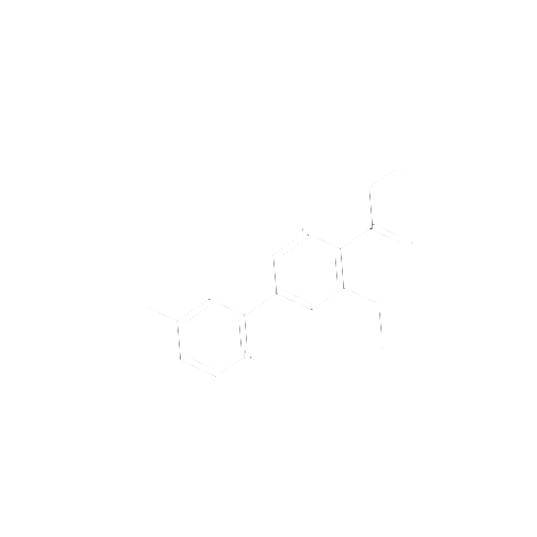 CCSc1cc(-c2cc(C(F)(F)F)ccn2)cnc1C(=O)CBr